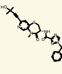 CN1C(=O)[C@@H](NC(=O)c2ncn(Cc3ccccc3)n2)CSc2cc(C#CC(C)(C)O)ncc21